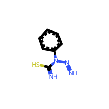 N=NN(C(=N)S)c1ccccc1